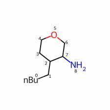 CCCCCC1CCOCC1N